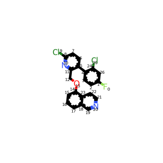 Fc1ccc(-c2ccc(Cl)nc2COc2cccc3cnccc23)c(Cl)c1